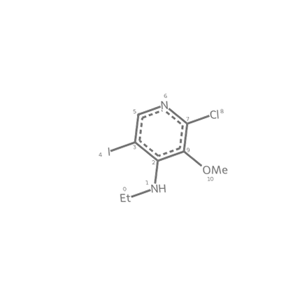 CCNc1c(I)cnc(Cl)c1OC